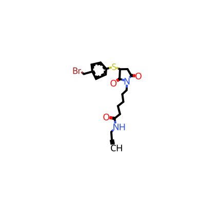 C#CCNC(=O)CCCCCN1C(=O)CC(Sc2ccc(CBr)cc2)C1=O